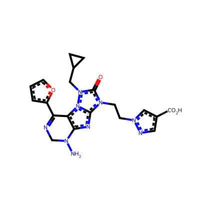 NN1CN=C(c2ccco2)c2c1nc1n(CCn3cc(C(=O)O)cn3)c(=O)n(CC3CC3)n21